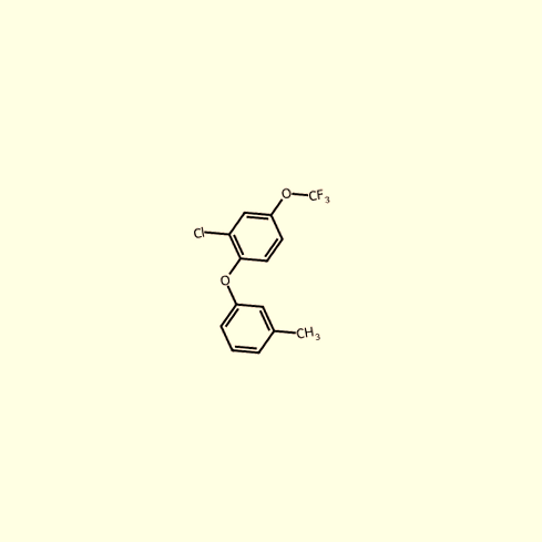 Cc1cccc(Oc2ccc(OC(F)(F)F)cc2Cl)c1